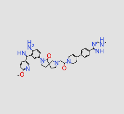 CN/C=N\C(=N)c1ccc(C2=CCN(C(=O)CN3CC[C@]4(CCN(c5ccc(N)c(C(=N)c6ccc(OC)nc6)c5)C4=O)C3)CC2)cc1